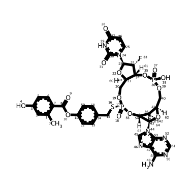 Cc1cc(O)ccc1C(=O)Oc1ccc(CS[P@]2(=O)OC[C@H]3O[C@@H](n4ccc(=O)[nH]c4=O)[C@H](F)[C@@H]3OP(=O)(O)OC[C@H]3O[C@@H](n4cnc5c(N)ncnc54)[C@H](O2)[C@@H]3F)cc1